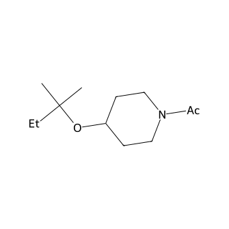 CCC(C)(C)OC1CCN(C(C)=O)CC1